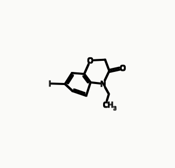 CCN1C(=O)COc2cc(I)ccc21